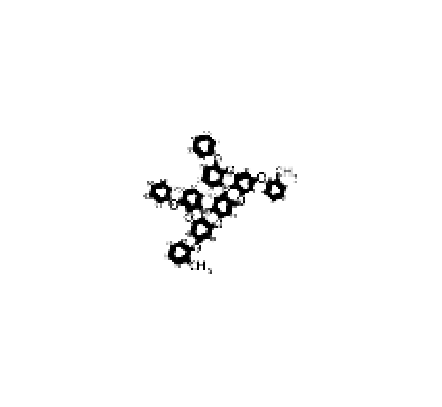 Cc1ccccc1Oc1cc2c3c(c1)Oc1c(Oc4ccccc4)cccc1B3c1cc3c(cc1O2)Oc1cc(Oc2ccccc2C)cc2c1B3c1cccc(Oc3ccccc3)c1O2